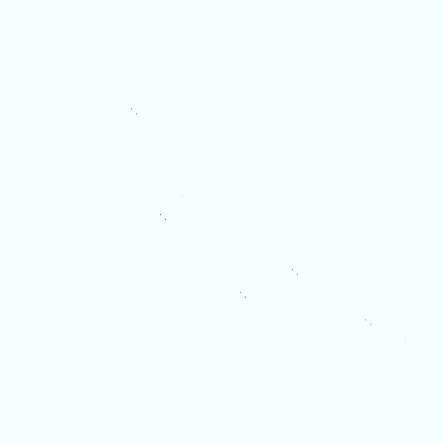 CN1CCCN(c2ccc(CN(C(=O)c3cccnc3)c3ccc(F)cc3)cn2)CC1